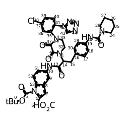 CC(C)(C)OC(=O)n1c(C(=O)O)cc2cc(NC(=O)C(Cc3ccc(NC(=O)N4CCCCC4)cc3)N3CCN(c4cc(Cl)ccc4-n4cnnn4)C(=O)C3=O)ccc21